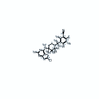 [2H]c1nc(N([2H])C2([2H])CCN(C([2H])([2H])c3c([2H])c([2H])c(F)c(C#N)c3[2H])C([2H])([2H])C2([2H])[2H])c2sc(Cl)nc2n1